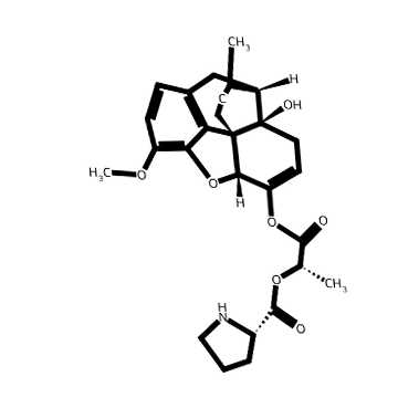 COc1ccc2c3c1O[C@H]1C(OC(=O)[C@H](C)OC(=O)[C@@H]4CCCN4)=CC[C@@]4(O)[C@@H](C2)C(C)CC[C@]314